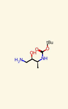 C[C@H](NC(=O)OC(C)(C)C)[C@H](O)CN